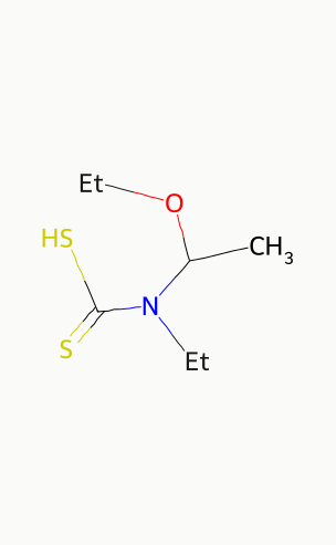 CCOC(C)N(CC)C(=S)S